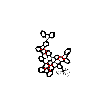 CC(C)(C)c1cc(-c2ccccc2)c(N2c3cc(-n4c5ccccc5c5ccccc54)ccc3B3c4ccc(-n5c6ccccc6c6cc(-n7c8ccccc8c8ccccc87)ccc65)cc4N(c4c(-c5ccccc5)cccc4-c4ccccc4)c4cc(-n5c6ccccc6c6ccccc65)cc2c43)c(-c2ccccc2)c1